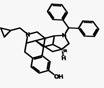 Oc1ccc2c(c1)C13CCN(CC4CC4)C(C2)C12CCC1C3[C@@H](CN1C(c1ccccc1)c1ccccc1)C2